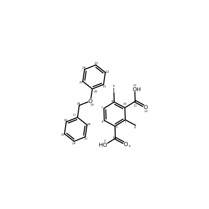 Cc1c(C(=O)O)ccc(I)c1C(=O)O.c1ccc(COc2ccccc2)cc1